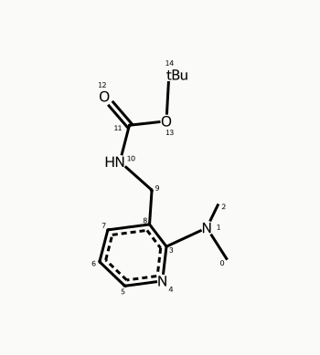 CN(C)c1ncccc1CNC(=O)OC(C)(C)C